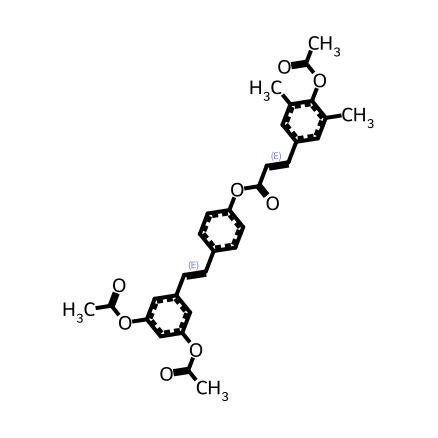 CC(=O)Oc1cc(/C=C/c2ccc(OC(=O)/C=C/c3cc(C)c(OC(C)=O)c(C)c3)cc2)cc(OC(C)=O)c1